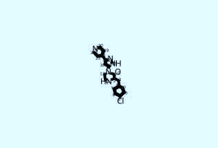 O=C1C(Cc2ccc(Cl)cc2)NCCN1c1cc(-c2ccncc2)n[nH]1